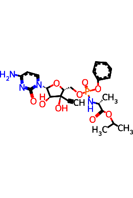 C#C[C@@]1(O)[C@@H](COP(=O)(N[C@H](C)C(=O)OC(C)C)Oc2ccccc2)O[C@@H](n2ccc(N)nc2=O)[C@@H]1O